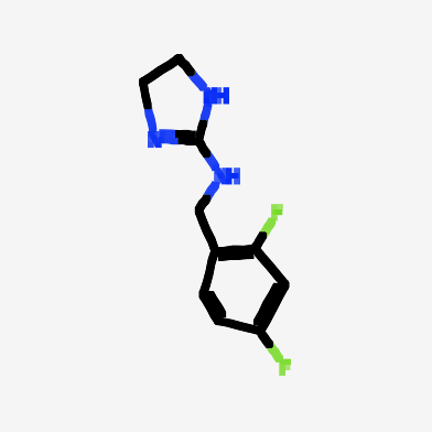 Fc1ccc(CNC2=NCCN2)c(F)c1